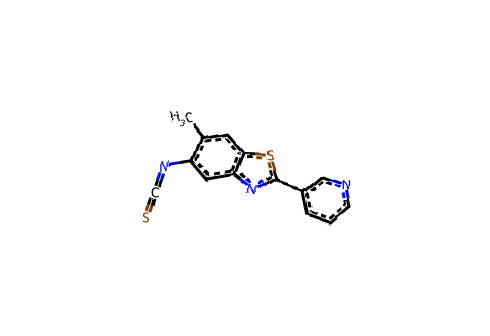 Cc1cc2sc(-c3cccnc3)nc2cc1N=C=S